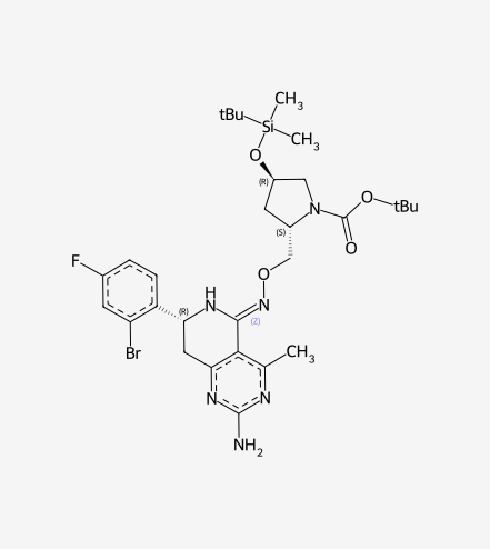 Cc1nc(N)nc2c1/C(=N/OC[C@@H]1C[C@@H](O[Si](C)(C)C(C)(C)C)CN1C(=O)OC(C)(C)C)N[C@@H](c1ccc(F)cc1Br)C2